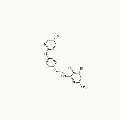 CCc1nc(C)nc(NCCc2ccc(Oc3ccc(C#N)cn3)cc2)c1Cl